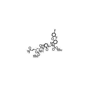 CN(C)C(=O)/C=C/CC[C@H](NC(=O)OC(C)(C)C)C(=O)Nc1cccn(Cc2nc3c(Oc4ccc(F)cc4F)cccc3n2C(=O)OC(C)(C)C)c1=O